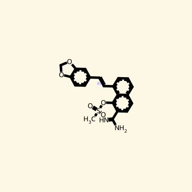 CS(=O)(=O)Oc1c(C(=N)N)ccc2cccc(/C=C/c3ccc4c(c3)OCO4)c12